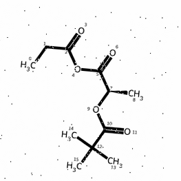 CCC(=O)OC(=O)[C@@H](C)OC(=O)C(C)(C)C